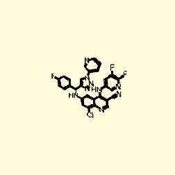 N#Cc1cnc2c(Cl)cc(N[C@@H](c3ccc(F)cc3)c3cn(-c4cccnc4)nn3)cc2c1Nc1cnc(F)c(F)c1